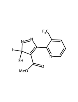 COC(=O)C1=C(c2ncccc2C(F)(F)F)N=NC1(S)I